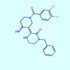 N=C1CCN(C(=O)c2ccc(Cl)c(Cl)c2)C/C1=C1/NCCN(Cc2ccccc2)C1=O